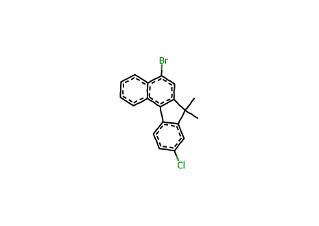 CC1(C)c2cc(Cl)ccc2-c2c1cc(Br)c1ccccc21